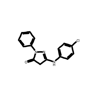 O=C1CC(Nc2ccc(Cl)cc2)=NN1c1ccccc1